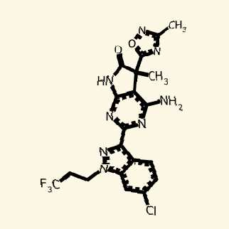 Cc1noc(C2(C)C(=O)Nc3nc(-c4nn(CCC(F)(F)F)c5cc(Cl)ccc45)nc(N)c32)n1